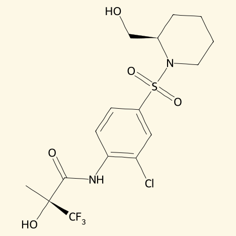 C[C@@](O)(C(=O)Nc1ccc(S(=O)(=O)N2CCCC[C@@H]2CO)cc1Cl)C(F)(F)F